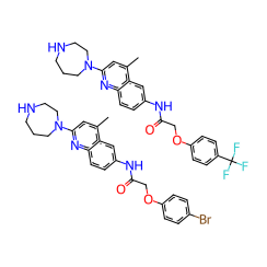 Cc1cc(N2CCCNCC2)nc2ccc(NC(=O)COc3ccc(Br)cc3)cc12.Cc1cc(N2CCCNCC2)nc2ccc(NC(=O)COc3ccc(C(F)(F)F)cc3)cc12